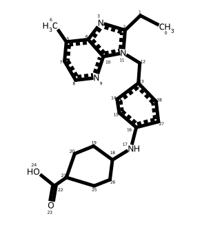 CCc1nc2c(C)ccnc2n1Cc1ccc(NC2CCC(C(=O)O)CC2)cc1